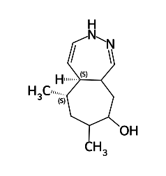 CC1C[C@H](C)[C@H]2C=CNN=CC2CC1O